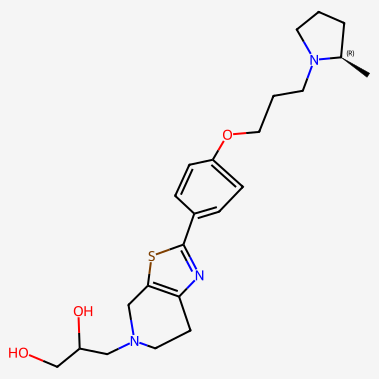 C[C@@H]1CCCN1CCCOc1ccc(-c2nc3c(s2)CN(CC(O)CO)CC3)cc1